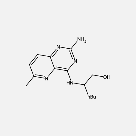 CCCCC(CO)Nc1nc(N)nc2ccc(C)nc12